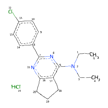 CCN(CC)c1nc(-c2ccc(Cl)cc2)nc2c1CCC2.Cl